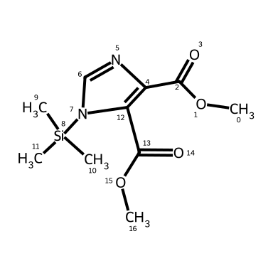 COC(=O)c1ncn([Si](C)(C)C)c1C(=O)OC